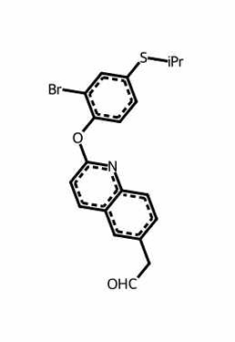 CC(C)Sc1ccc(Oc2ccc3cc(CC=O)ccc3n2)c(Br)c1